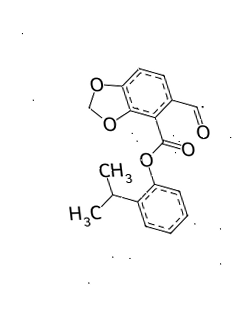 CC(C)c1ccccc1OC(=O)c1c([C]=O)ccc2c1OCO2